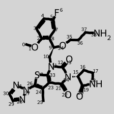 COc1ccc(F)cc1[C@H](Cn1c(=O)n([C@@H]2CCNC2=O)c(=O)c2c(C)c(-n3nccn3)sc21)OCCCN